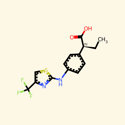 CC[C@H](C(=O)O)c1ccc(Nc2nc(C(F)(F)F)cs2)cc1